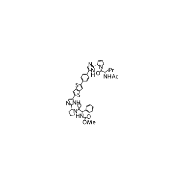 COC(=O)N[C@@H](C(=O)N1CCC[C@H]1c1ncc(-c2cc3sc(-c4ccc(-c5cnc([C@@H]6C=CCN6C(=O)[C@@H](NC(C)=O)C(C)C)[nH]5)cc4)cc3s2)[nH]1)c1ccccc1